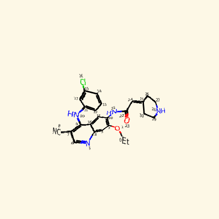 CCOc1cc2ncc(C#N)c(Nc3cccc(Cl)c3)c2cc1NC(=O)C=C1CCNCC1